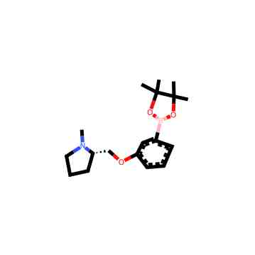 CN1CCC[C@H]1COc1cccc(B2OC(C)(C)C(C)(C)O2)c1